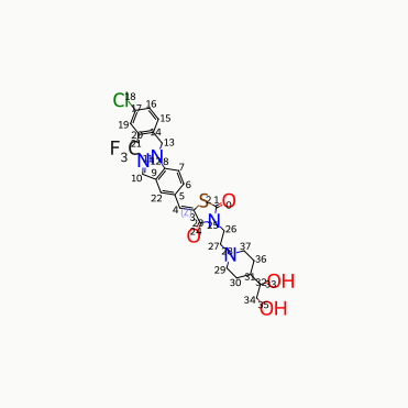 O=C1S/C(=C\c2ccc3c(cnn3Cc3ccc(Cl)cc3C(F)(F)F)c2)C(=O)N1CCN1CCC(C(O)CO)CC1